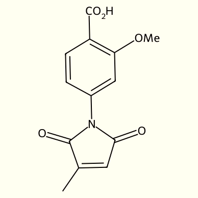 COc1cc(N2C(=O)C=C(C)C2=O)ccc1C(=O)O